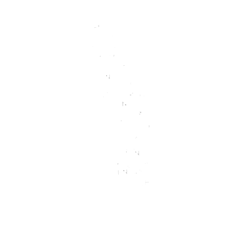 Cc1nc(-c2ccc(F)cc2)ccc1C(=O)Nc1ccc(CN2CCN[C@@H](C)C2)cc1